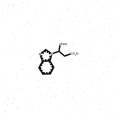 CCCCCC(CC(=O)O)n1cnc2ccccc21